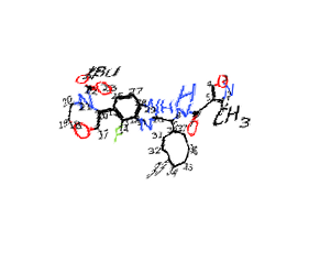 Cc1nocc1C(=O)NC(c1nc2c(F)c(C3COCCN3C(=O)OC(C)(C)C)ccc2[nH]1)C1CCCCCCC1